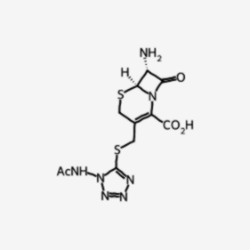 CC(=O)Nn1nnnc1SCC1=C(C(=O)O)N2C(=O)[C@@H](N)[C@@H]2SC1